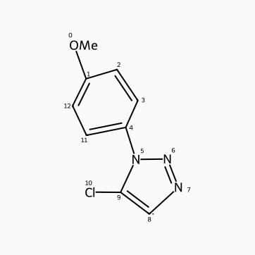 COc1ccc(-n2nn[c]c2Cl)cc1